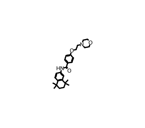 CC1(C)CCC(C)(C)c2cc(NC(=O)c3ccc(OCCN4CCOCC4)cc3)ccc21